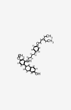 CCN(CC)CCOc1ccc(CCCCNc2cc(OC)ccc2C2CCc3cc(O)ccc3C2)cc1